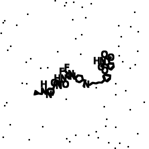 CN(CCCCCc1cccc(Oc2cccc3c2C(=O)NC(=O)C3=O)c1)CC1CCC(n2cc(NC(=O)c3coc(-c4ccnc(NCC5CC5)c4)n3)c(C(F)F)n2)CC1